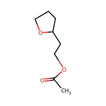 CC(=O)OCCC1CCCO1